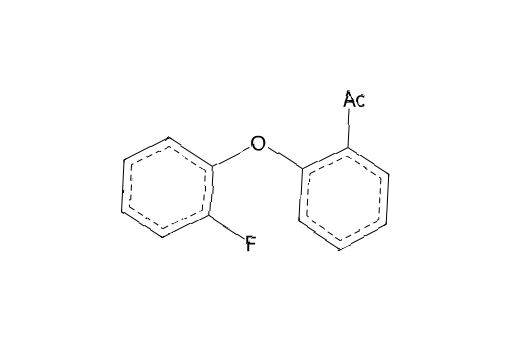 CC(=O)c1ccccc1Oc1ccccc1F